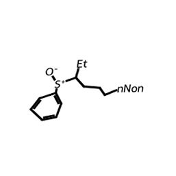 CCCCCCCCCCCCC(CC)[S+]([O-])c1ccccc1